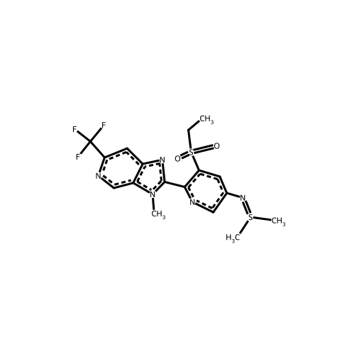 CCS(=O)(=O)c1cc(N=S(C)C)cnc1-c1nc2cc(C(F)(F)F)ncc2n1C